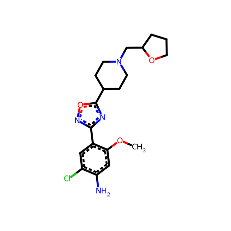 COc1cc(N)c(Cl)cc1-c1noc(C2CCN(CC3CCCO3)CC2)n1